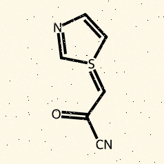 N#CC(=O)C=S1C=CN=C1